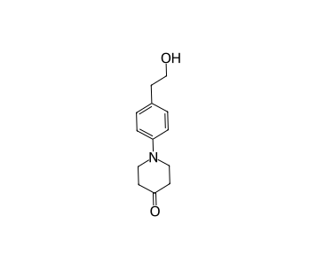 O=C1CCN(c2ccc(CCO)cc2)CC1